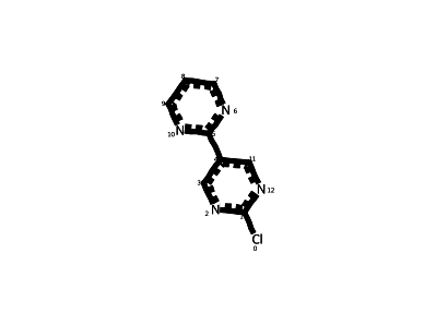 Clc1ncc(-c2ncccn2)cn1